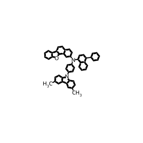 Cc1ccc2c(c1)c1cc(C)ccc1n2-c1ccc(N(c2ccc3ccc4c5ccccc5oc4c3c2)c2ccc(-c3ccccc3)c3ccccc23)cc1